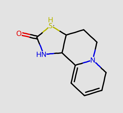 O=C1NC2C3=CC=CCN3CCC2[SH]1